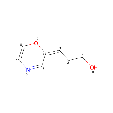 OCCC=C1C=NC=CO1